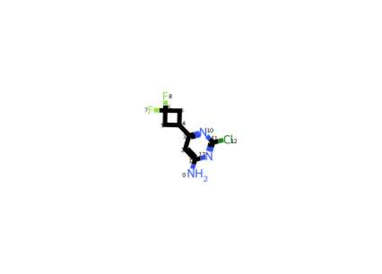 Nc1cc(C2CC(F)(F)C2)nc(Cl)n1